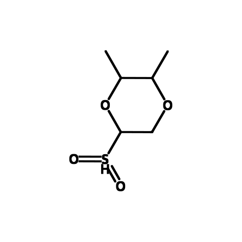 CC1OCC([SH](=O)=O)OC1C